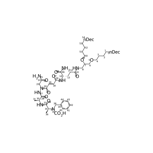 CCCCCCCCCCCCCCOCC(CNC(=O)CC[C@H](NC(=O)/C=C/C(=O)N(CC(N)=O)NC(=O)[C@H](C)NC(=O)[C@H](C)N(Cc1ccccc1)C(=O)O)C(N)=O)OCCCCCCCCCCCCCC